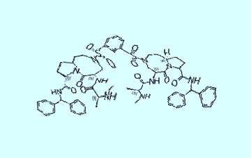 CN[C@@H](C)C(=O)N[C@H]1CN(S(=O)(=O)c2cccc(S(=O)(=O)N3CCC4CC[C@@H](C(=O)NC(c5ccccc5)c5ccccc5)N4C(=O)[C@@H](NC(=O)[C@H](C)NC)C3)c2)CC[C@H]2CCC(C(=O)NC(c3ccccc3)c3ccccc3)N2C1=O